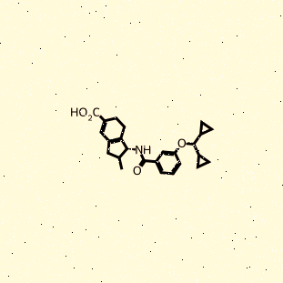 CC1CC2=C(CCC(C(=O)O)=C2)[C@H]1NC(=O)c1cccc(OC(C2CC2)C2CC2)c1